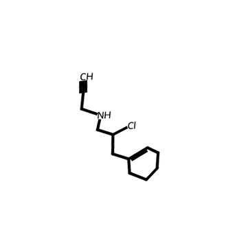 C#CCNCC(Cl)CC1=CCCCC1